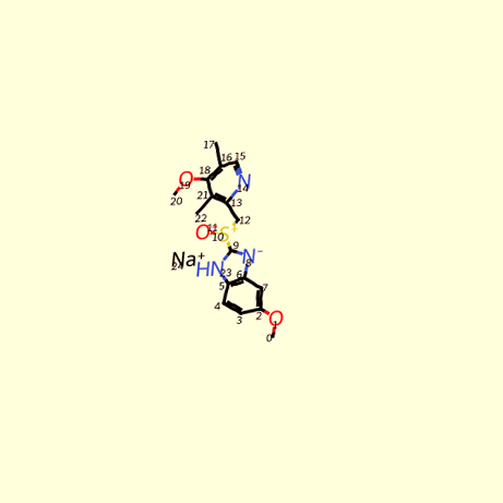 COc1ccc2c(c1)[N-]C([S@@+]([O-])Cc1ncc(C)c(OC)c1C)N2.[Na+]